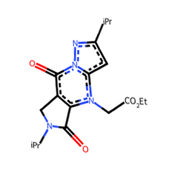 CCOC(=O)Cn1c2c(c(=O)n3nc(C(C)C)cc13)CN(C(C)C)C2=O